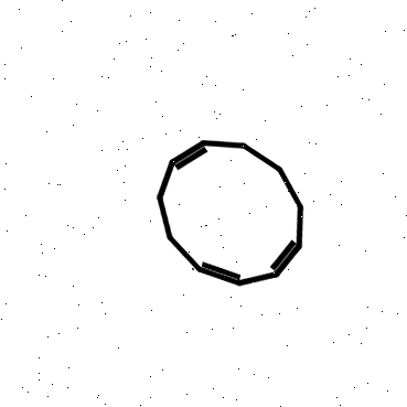 [C]1=CC=CCCCC=CCC1